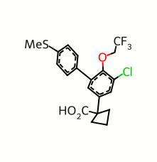 CSc1ccc(-c2cc(C3(C(=O)O)CCC3)cc(Cl)c2OCC(F)(F)F)cc1